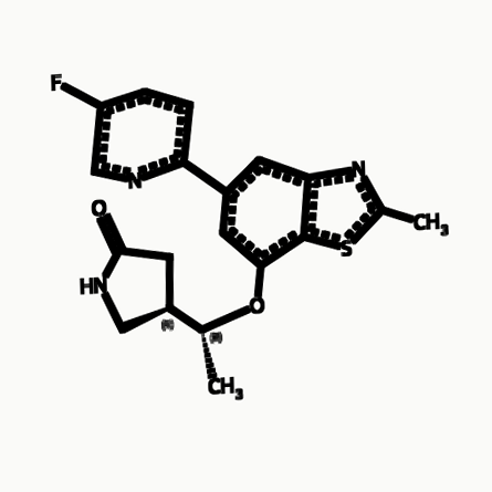 Cc1nc2cc(-c3ccc(F)cn3)cc(O[C@H](C)[C@H]3CNC(=O)C3)c2s1